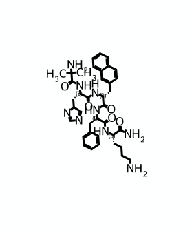 CC(C)(N)C(=O)N[C@@H](CC1C=NC=N1)C(=O)N[C@H](Cc1ccc2ccccc2c1)C(=O)N[C@H](Cc1ccccc1)C(=O)N[C@@H](CCCCN)C(N)=O